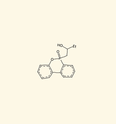 CCC(O)CP1(=O)Oc2ccccc2-c2ccccc21